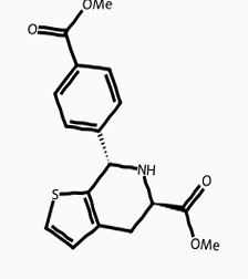 COC(=O)c1ccc([C@@H]2N[C@@H](C(=O)OC)Cc3ccsc32)cc1